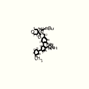 CCCCC1=NC2(CCOCC2)C(=O)N1Cc1ccc(-c2cc(-c3cccc(C)c3)ccc2-c2nn[nH]n2)cc1